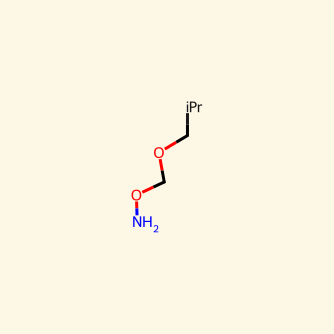 CC(C)COCON